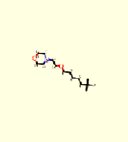 CC(C)(C)CCCCCOCCN1CCOCC1